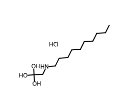 CCCCCCCCCCNCC(O)(O)O.Cl